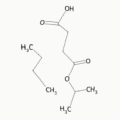 CC(C)OC(=O)CCC(=O)O.CCCC